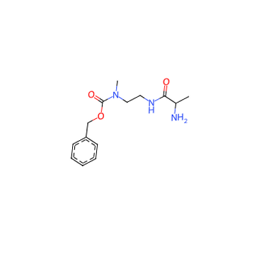 CC(N)C(=O)NCCN(C)C(=O)OCc1ccccc1